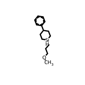 COCCC[SiH]1CCC(c2ccccc2)CC1